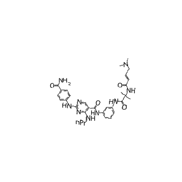 CCCNc1nc(Nc2ccc(C(N)=O)cc2)ncc1C(=O)Nc1cccc(NC(=O)C(C)(C)NC(=O)/C=C/CN(C)C)c1